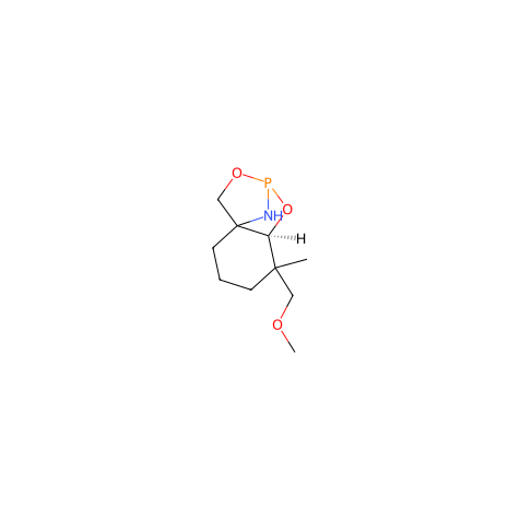 COCC1(C)CCCC23COP(N2)O[C@@H]13